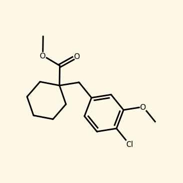 COC(=O)C1(Cc2ccc(Cl)c(OC)c2)CCCCC1